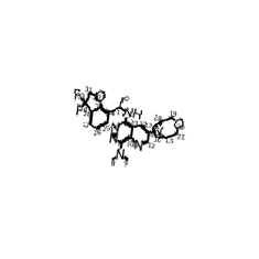 C[C@@H](Nc1nnc(N(C)C)c2ncc(N3C4CCC3COC4)cc12)c1cccc2c1OCC2(F)F